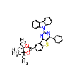 CC1(C)OB(c2ccc3sc4c(-c5ccccc5)nc(-n5c6ccccc6c6ccccc65)nc4c3c2)OC1(C)C